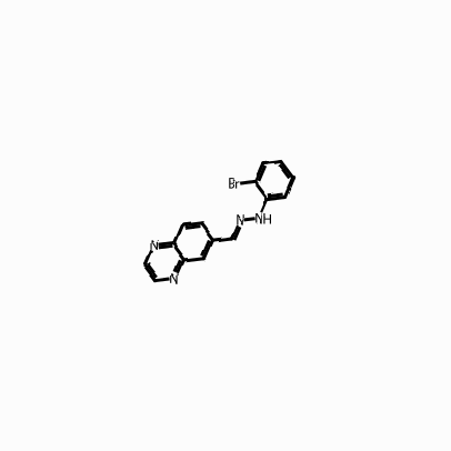 Brc1ccccc1N/N=C/c1ccc2nccnc2c1